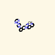 CN(C[C@H]1Cc2c(cccc2N2CCN(c3ncccn3)CC2)CN1)[C@H]1CCCc2cccnc21